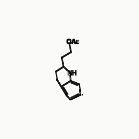 CC(=O)OCCC1CCc2cc[c]cc2N1